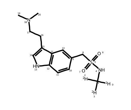 [2H]C([2H])([2H])NS(=O)(=O)Cc1ccc2[nH]cc(CCN(C)C)c2c1